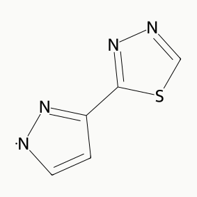 C1=CC(c2nncs2)=N[N]1